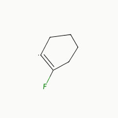 FC1=[C]CCCC1